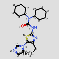 O=C(O)Cc1nc(NC(=O)N(C2CCCCC2)C2CCCCC2)sc1-n1ccnc1